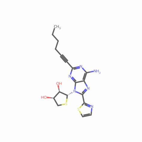 CCCCC#Cc1nc(N)c2nc(-c3nccs3)n([C@@H]3SC[C@@H](O)[C@H]3O)c2n1